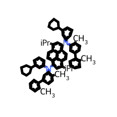 Cc1ccccc1-c1ccc(C)c(N(c2cccc(C3CCCCC3)c2)c2cc(C(C)C)c3ccc4c(N(c5cccc(C6CCCCC6)c5)c5cc(-c6ccccc6C)ccc5C)cc(C(C)C)c5ccc2c3c54)c1